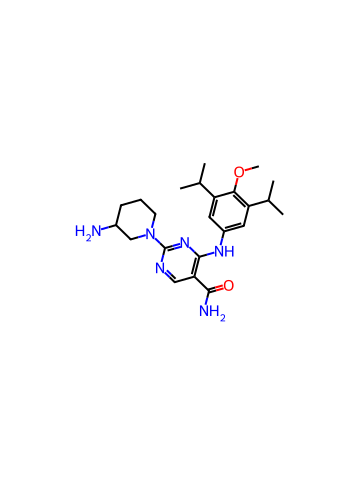 COc1c(C(C)C)cc(Nc2nc(N3CCCC(N)C3)ncc2C(N)=O)cc1C(C)C